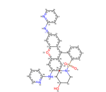 O=S(=O)(c1ccccc1-c1c2cc/c(=N\c3ccccn3)cc-2oc2cc(Nc3ccccn3)ccc12)N1CCC(O)CC1